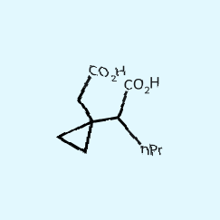 CCCC(C(=O)O)C1(CC(=O)O)CC1